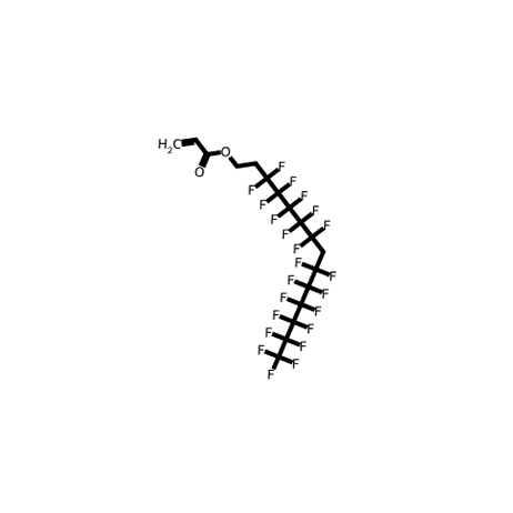 C=CC(=O)OCCC(F)(F)C(F)(F)C(F)(F)C(F)(F)C(F)(F)CC(F)(F)C(F)(F)C(F)(F)C(F)(F)C(F)(F)C(F)(F)F